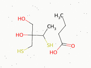 CC(S)C(O)(CO)CS.CCCC(=O)O